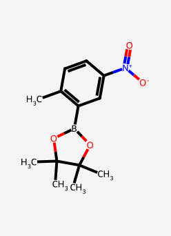 Cc1ccc([N+](=O)[O-])cc1B1OC(C)(C)C(C)(C)O1